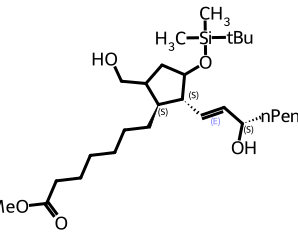 CCCCC[C@H](O)/C=C/[C@H]1C(O[Si](C)(C)C(C)(C)C)CC(CO)[C@@H]1CCCCCCC(=O)OC